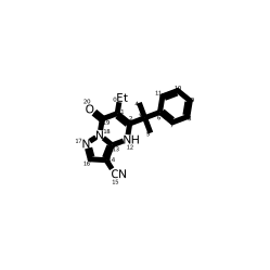 CCc1c(C(C)(C)c2ccccc2)[nH]c2c(C#N)cnn2c1=O